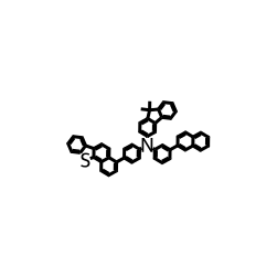 CC1(C)c2ccccc2-c2cc(N(c3ccc(-c4cccc5c4ccc4c6ccccc6sc54)cc3)c3cccc(-c4ccc5ccccc5c4)c3)ccc21